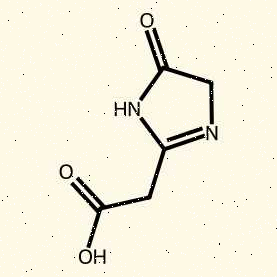 O=C(O)CC1=NCC(=O)N1